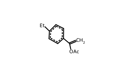 C=C(OC(C)=O)c1ccc(CC)cc1